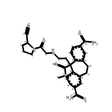 CNC(=N)C1(CCNCC(=O)N2CCCC2C#N)c2ccc(C(N)=O)cc2CCc2cc(C(N)=O)ccc21